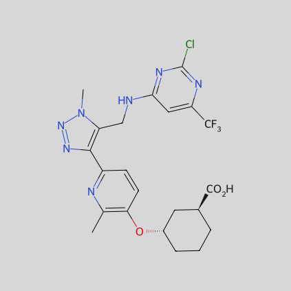 Cc1nc(-c2nnn(C)c2CNc2cc(C(F)(F)F)nc(Cl)n2)ccc1O[C@H]1CCC[C@H](C(=O)O)C1